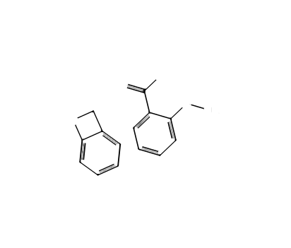 COc1ccccc1C(=O)O.c1ccc2c(c1)CO2